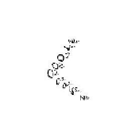 [Nb].[Nb].[O-2].[O-2].[O-2].[O-2].[O-2].[V+5].[V+5]